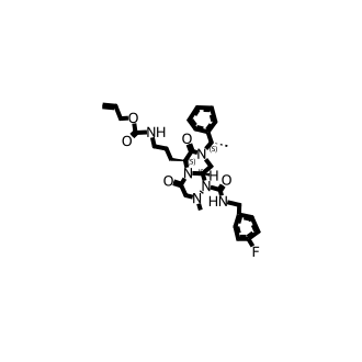 C=CCOC(=O)NCCC[C@H]1C(=O)N([C@@H](C)c2ccccc2)C[C@H]2N1C(=O)CN(C)N2C(=O)NCc1ccc(F)cc1